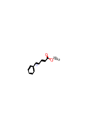 CC(C)(C)OC(=O)C=C/C=C/c1ccccc1